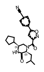 CC(C)C[C@H]1C(=O)N[C@@H](C2CCCC2)CN1C(=O)c1cc(-c2ccc(C#N)cc2)on1